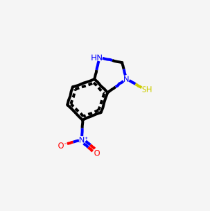 O=[N+]([O-])c1ccc2c(c1)N(S)CN2